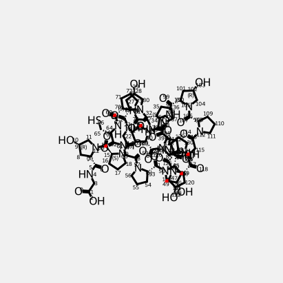 O=C(O)CNC(=O)[C@@H]1C[C@@H](O)CN1C(=O)[C@@H]1CCCN1C(=O)CNC(=O)[C@@H]1C[C@@H](O)CN1C(=O)[C@@H]1CCCN1C(=O)CNC(=O)[C@@H]1C[C@@H](O)CN1C(=O)[C@@H]1CCCN1C(=O)CNC(=O)[C@H](CS)NC(=O)[C@@H]1CCCN1C(=O)CNC(=O)[C@@H]1C[C@@H](O)CN1C(=O)[C@@H]1CCCN1C(=O)CNC(=O)[C@@H]1C[C@@H](O)CN1C(=O)[C@@H]1CCCN1C(=O)CNC(=O)[C@@H]1C[C@@H](O)CN1C(=O)[C@@H]1CCCN1